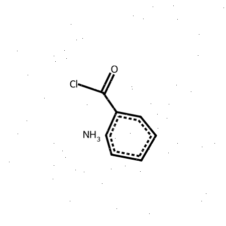 N.O=C(Cl)c1ccccc1